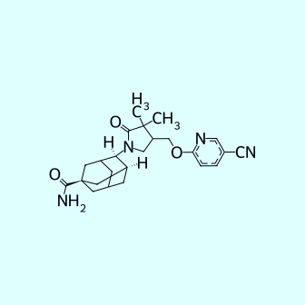 CC1(C)C(=O)N([C@@H]2C3CC4C[C@H]2C[C@](C(N)=O)(C4)C3)CC1COc1ccc(C#N)cn1